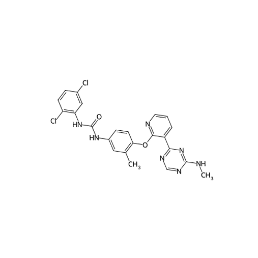 CNc1ncnc(-c2cccnc2Oc2ccc(NC(=O)Nc3cc(Cl)ccc3Cl)cc2C)n1